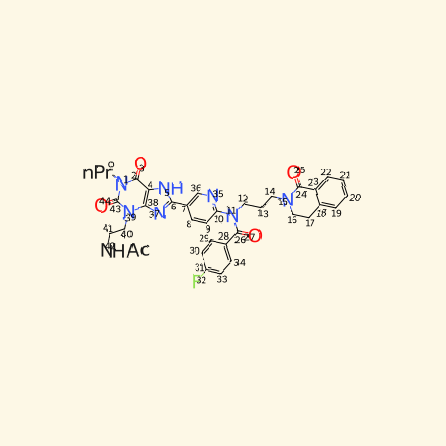 CCCn1c(=O)c2[nH]c(-c3ccc(N(CCCN4CCc5ccccc5C4=O)C(=O)c4ccc(F)cc4)nc3)nc2n(CCNC(C)=O)c1=O